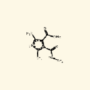 COC(=O)c1c(C)[nH]c(C)c1C(=O)NN